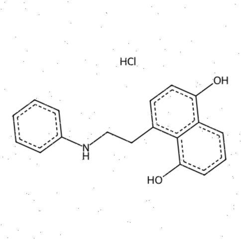 Cl.Oc1ccc(CCNc2ccccc2)c2c(O)cccc12